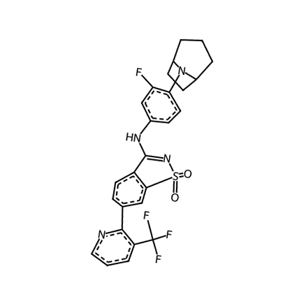 O=S1(=O)N=C(Nc2ccc(N3C4CCCC3CC4)c(F)c2)c2ccc(-c3ncccc3C(F)(F)F)cc21